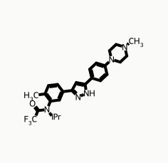 Cc1ccc(-c2cc(-c3ccc(N4CCN(C)CC4)cc3)[nH]n2)cc1N(C(=O)C(F)(F)F)C(C)C